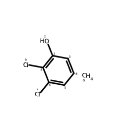 C.Oc1cccc(Cl)c1Cl